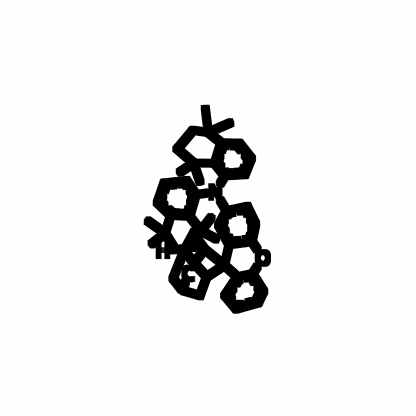 CC1(C)CCC(C)(C)c2c(N(c3ccc4c(c3)C3(c5ccccc5O4)C4CC5C[C@@H]6CC3C46C5)c3cccc4c3C(C)(C)CCC4(C)C)cccc21